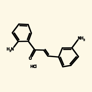 Cl.Nc1cccc(/C=C/C(=O)c2ccccc2N)c1